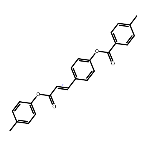 Cc1ccc(OC(=O)/C=C/c2ccc(OC(=O)c3ccc(C)cc3)cc2)cc1